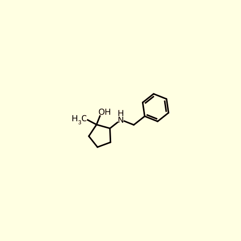 CC1(O)CCCC1NCc1ccccc1